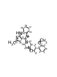 COc1ccccc1CC[C@H]1CN(C2=Nc3ccccc3Nc3sc(C)cc32)CCN1C